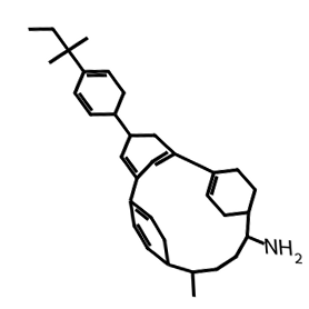 CCC(C)(C)C1=CCC(C2C=C3C=C(C2)C2=CCC(CC2)C(N)CCC(C)C2C=CC3=CC2)C=C1